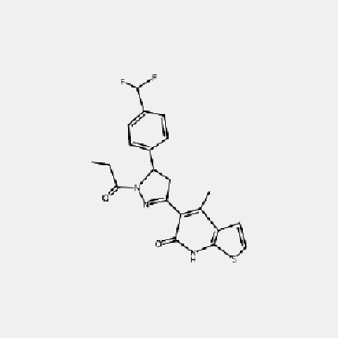 CCC(=O)N1N=C(c2c(C)c3ccsc3[nH]c2=O)CC1c1ccc(C(F)F)cc1